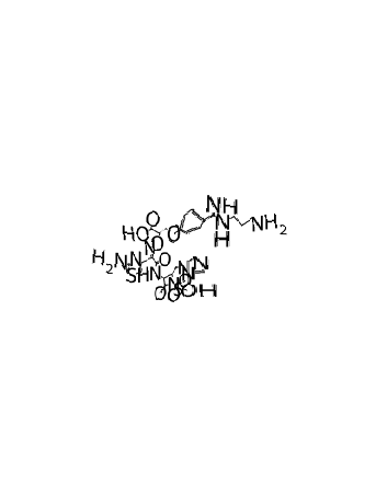 N=C(NCCCN)c1ccc(OC[C@H](O/N=C(\C(=O)N[C@@H]2C(=O)N(S(=O)(=O)O)[C@@H]2Cn2cncn2)c2csc(N)n2)C(=O)O)cc1